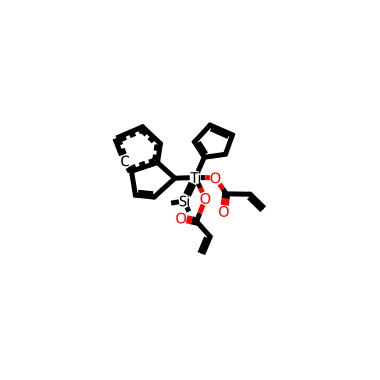 C=CC(=O)[O][Ti]([O]C(=O)C=C)([C]1=CC=CC1)([CH]1C=Cc2ccccc21)=[Si](C)C